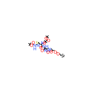 CC(C)(C)OC(=O)Nc1nc(C(=NOC(C)(C)C(=O)OC(C)(C)C)C(=O)N[C@@H]2C(=O)N[C@@H]2CN2CC(COCOCC[Si](C)(C)C)OC2=O)cs1